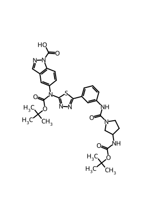 CC(C)(C)OC(=O)NC1CCN(C(=O)Nc2cccc(-c3nnc(N(C(=O)OC(C)(C)C)c4ccc5c(cnn5C(=O)O)c4)s3)c2)C1